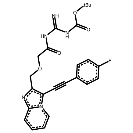 CC(C)(C)OC(=O)NC(=N)NC(=O)COCc1nc2ccccn2c1C#Cc1ccc(F)cc1